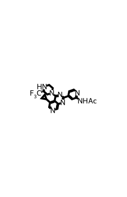 CC(=O)Nc1cc(-c2nc(N3CCN[C@H](C(F)(F)F)C3)c3c(C4CC4)cncc3n2)ccn1